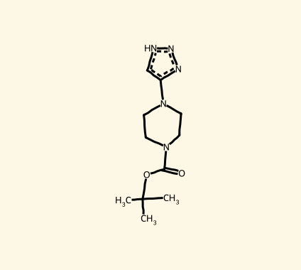 CC(C)(C)OC(=O)N1CCN(c2c[nH]nn2)CC1